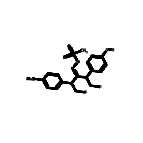 CSc1ccc(C(CF)C(=NOS(C)(=O)=O)C(CF)c2ccc(SC)cc2)cc1